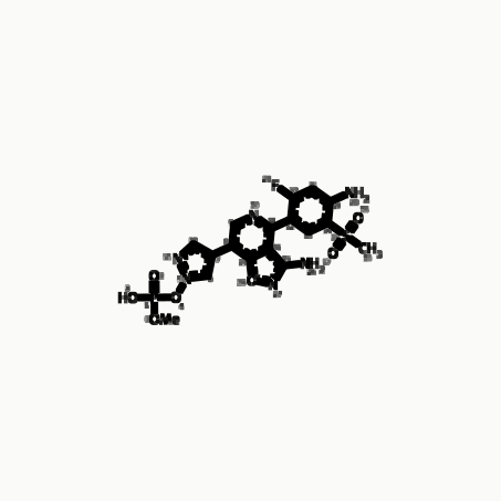 COP(=O)(O)On1cc(-c2cnc(-c3cc(S(C)(=O)=O)c(N)cc3F)c3c(N)noc23)cn1